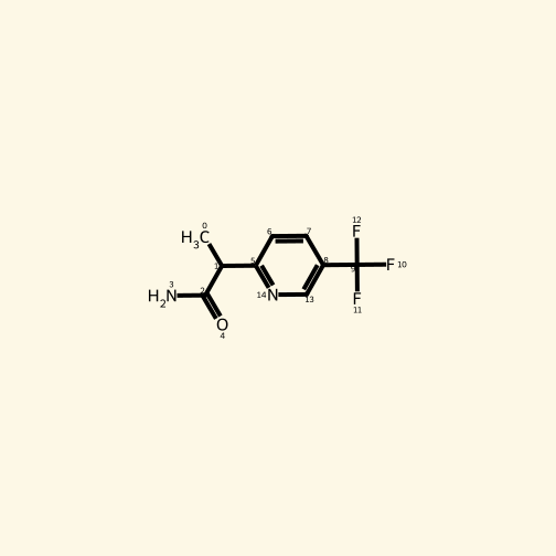 CC(C(N)=O)c1ccc(C(F)(F)F)cn1